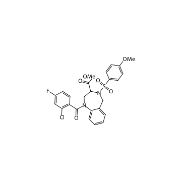 COC(=O)C1CN(C(=O)c2ccc(F)cc2Cl)c2ccccc2CN1S(=O)(=O)c1ccc(OC)cc1